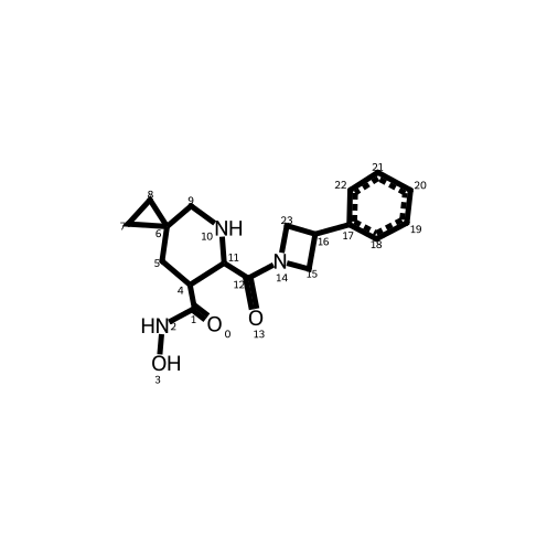 O=C(NO)C1CC2(CC2)CNC1C(=O)N1CC(c2ccccc2)C1